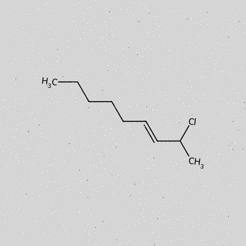 CCCCCC=CC(C)Cl